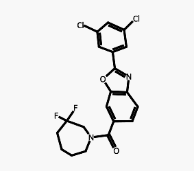 O=C(c1ccc2nc(-c3cc(Cl)cc(Cl)c3)oc2c1)N1CCCCC(F)(F)C1